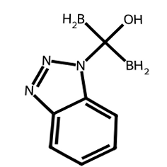 BC(B)(O)n1nnc2ccccc21